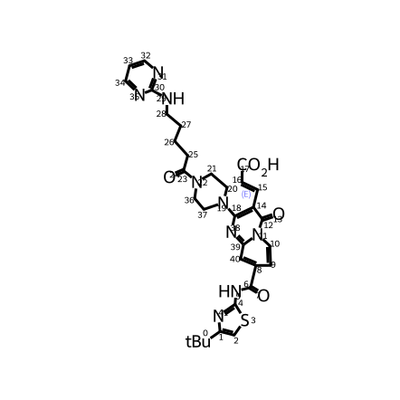 CC(C)(C)c1csc(NC(=O)c2ccn3c(=O)c(/C=C/C(=O)O)c(N4CCN(C(=O)CCCCNc5ncccn5)CC4)nc3c2)n1